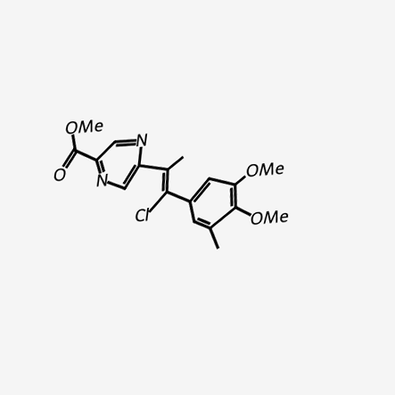 COC(=O)c1cnc(/C(C)=C(\Cl)c2cc(C)c(OC)c(OC)c2)cn1